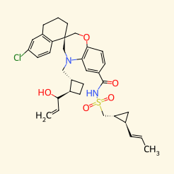 C=CC(O)[C@@H]1CC[C@H]1CN1C[C@@]2(CCCc3cc(Cl)ccc32)COc2ccc(C(=O)NS(=O)(=O)C[C@@H]3C[C@H]3/C=C/C)cc21